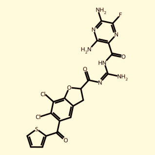 NC(=NC(=O)C1Cc2cc(C(=O)c3cccs3)c(Cl)c(Cl)c2O1)NC(=O)c1nc(F)c(N)nc1N